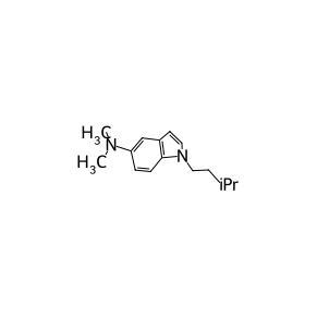 CC(C)CCn1ccc2cc(N(C)C)ccc21